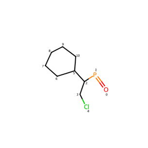 O=PC(CCl)C1CCCCC1